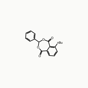 CCCCc1cccc2c1C(=O)OC(c1ccccc1)OC2=O